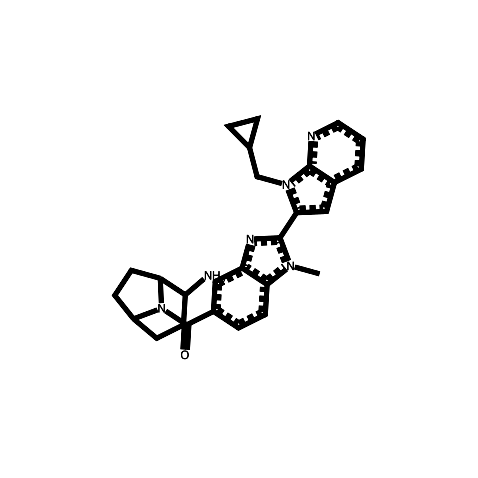 Cn1c(-c2cc3cccnc3n2CC2CC2)nc2cc(C(=O)N3C4CCC(N)C3CC4)ccc21